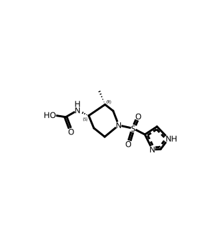 C[C@@H]1CN(S(=O)(=O)c2c[nH]cn2)CC[C@@H]1NC(=O)O